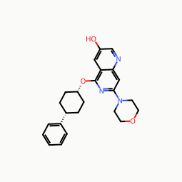 Oc1cnc2cc(N3CCOCC3)nc(O[C@H]3CC[C@@H](c4ccccc4)CC3)c2c1